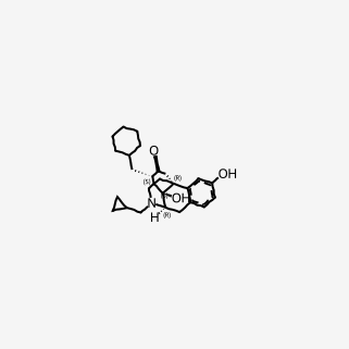 O=C1C[C@]23CCN(CC4CC4)[C@H](Cc4ccc(O)cc42)[C@]3(O)C[C@@H]1CC1CCCCC1